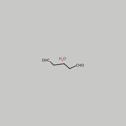 O.O=CCCCC=O